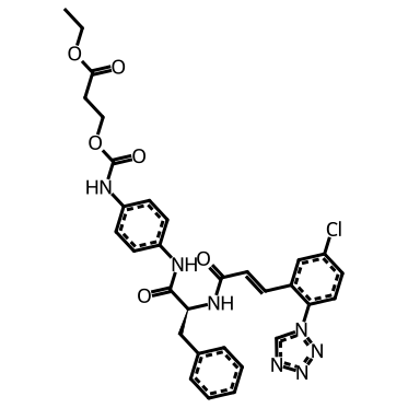 CCOC(=O)CCOC(=O)Nc1ccc(NC(=O)[C@H](Cc2ccccc2)NC(=O)/C=C/c2cc(Cl)ccc2-n2cnnn2)cc1